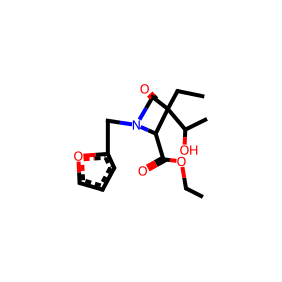 CCOC(=O)C1N(Cc2ccco2)C(=O)C1(CC)C(C)O